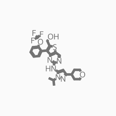 CC(C)n1nc(C2CCOCC2)cc1Nc1ncc2sc(CO)c(-c3ccccc3OC(F)(F)F)c2n1